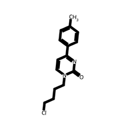 Cc1ccc(-c2ccn(CCCCCl)c(=O)n2)cc1